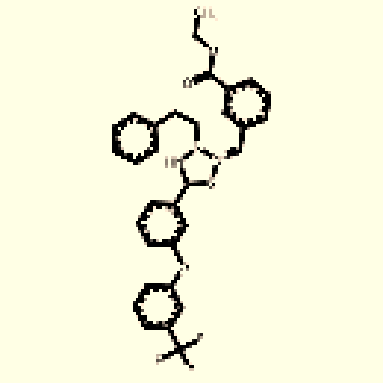 CCOC(=O)c1cccc(C=[N+]2SC(c3cccc(Oc4cccc(C(F)(F)F)c4)c3)NN2CCc2ccccc2)c1